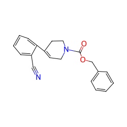 N#Cc1ccccc1C1=CCN(C(=O)OCc2ccccc2)CC1